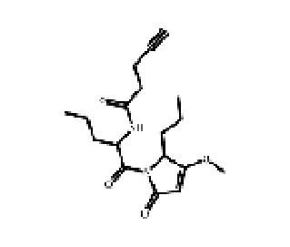 C#CCCC(=O)NC(CCC)C(=O)N1C(=O)C=C(OC)C1CCC